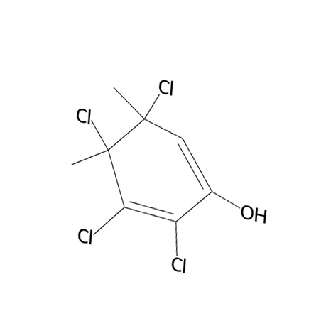 CC1(Cl)C=C(O)C(Cl)=C(Cl)C1(C)Cl